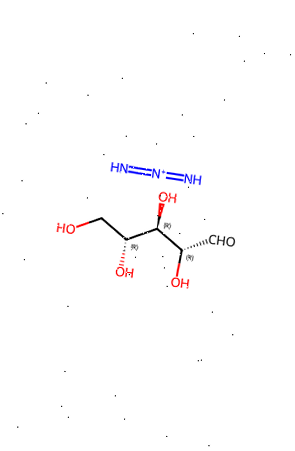 N=[N+]=N.O=C[C@H](O)[C@H](O)[C@H](O)CO